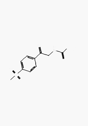 CCOC(=O)C(=O)NCC(=O)c1ccc(S(C)(=O)=O)cc1